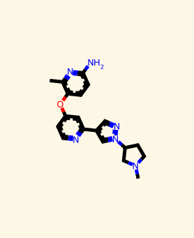 Cc1nc(N)ccc1Oc1ccnc(-c2cnn(C3CCN(C)C3)c2)c1